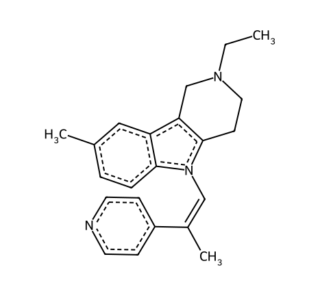 CCN1CCc2c(c3cc(C)ccc3n2/C=C(/C)c2ccncc2)C1